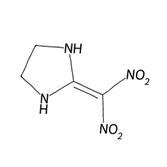 O=[N+]([O-])C(=C1NCCN1)[N+](=O)[O-]